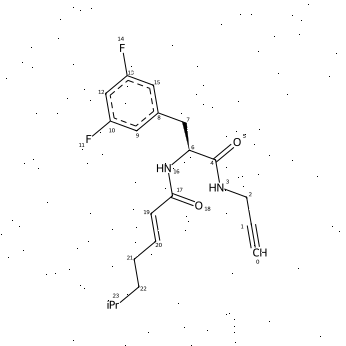 C#CCNC(=O)[C@H](Cc1cc(F)cc(F)c1)NC(=O)/C=C/CCC(C)C